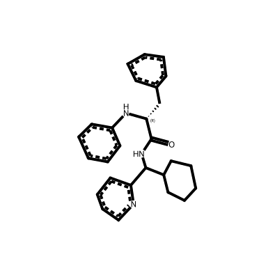 O=C(NC(c1ccccn1)C1CCCCC1)[C@@H](Cc1ccccc1)Nc1ccccc1